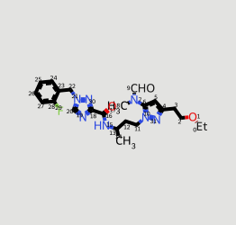 CCOCCc1cc(N(C)C=O)n(CCC(C)NC(=O)c2ncn(Cc3ccccc3F)n2)n1